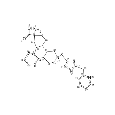 NC1(C(=O)O)CCCC(c2ccccc2C2CCN(Cc3cn(Cc4ccccn4)nn3)CC2)C1